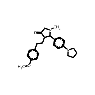 COc1ccc(CCC2C(=O)CN(C)C2c2ccc(N3CCCC3)cc2)cc1